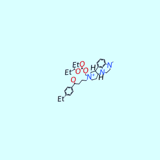 CCc1ccc(C(=O)CCC[N+]2(COC(=O)OC(CC)CC)CC[C@H]3[C@@H](C2)c2cccc4c2N3CCN4C)cc1